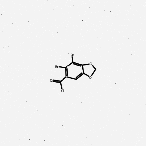 O=C(Cl)c1cc2c(c(Br)c1Br)OCO2